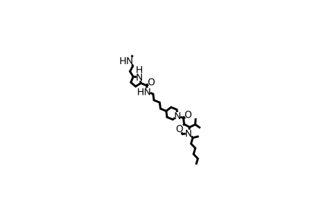 CCCCCC(C)N1COC(C(=O)N2CCC(CCCCNC(=O)C3CCC(CCNC)N3)CC2)C1C(C)C